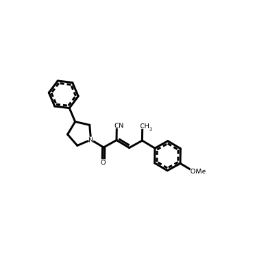 COc1ccc(C(C)/C=C(\C#N)C(=O)N2CCC(c3ccccc3)C2)cc1